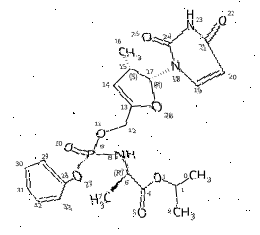 CC(C)OC(=O)[C@@H](C)NP(=O)(OCC1=C[C@H](C)[C@H](n2ccc(=O)[nH]c2=O)O1)Oc1ccccc1